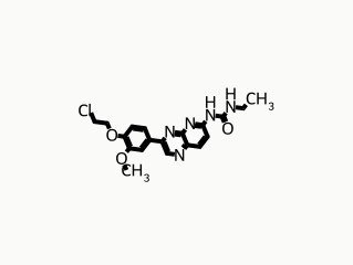 CCNC(=O)Nc1ccc2ncc(-c3ccc(OCCCl)c(OC)c3)nc2n1